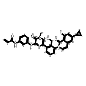 C=CC(=O)Nc1cccc(Nc2nc(-c3cccc(-n4ccc5cc(C6CC6)cc(F)c5c4=O)c3CO)cn(C)c2=O)c1